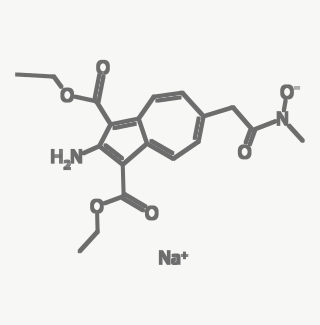 CCOC(=O)c1c2ccc(CC(=O)N(C)[O-])ccc-2c(C(=O)OCC)c1N.[Na+]